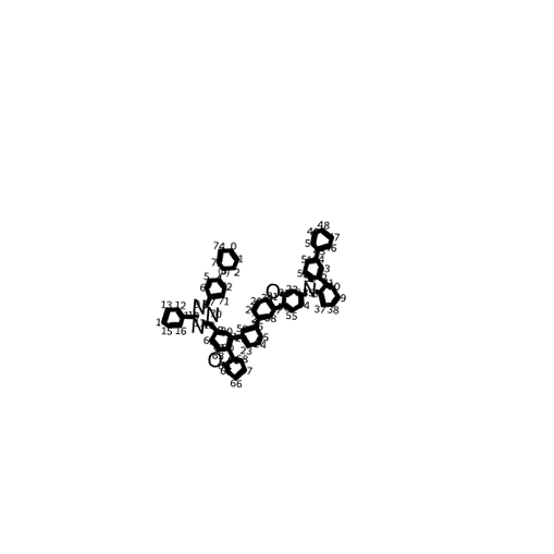 C1=CC[C@H](c2ccc(-c3nc(-c4ccccc4)nc(-c4cc(-c5cccc(-c6ccc7oc8cc(-n9c%10ccccc%10c%10cc(-c%11ccccc%11)ccc%109)ccc8c7c6)c5)c5c(c4)oc4ccccc45)n3)cc2)C=C1